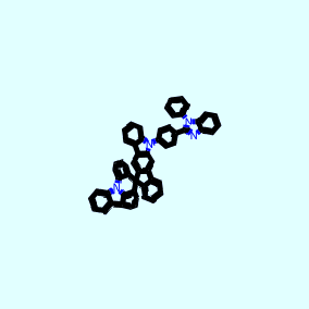 c1ccc(-n2c(-c3ccc(-n4c5ccccc5c5cc6c(cc54)-c4ccccc4C64c5ccccc5-n5c6ccccc6c6cccc4c65)cc3)nc3ccccc32)cc1